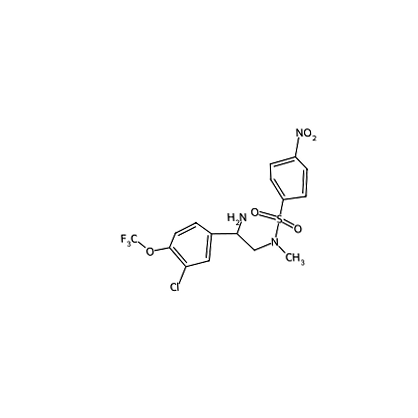 CN(CC(N)c1ccc(OC(F)(F)F)c(Cl)c1)S(=O)(=O)c1ccc([N+](=O)[O-])cc1